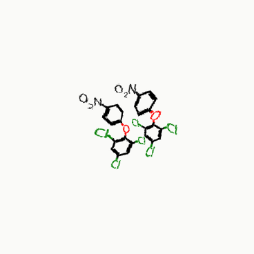 O=[N+]([O-])c1ccc(Oc2c(Cl)cc(Cl)cc2Cl)cc1.O=[N+]([O-])c1ccc(Oc2c(Cl)cc(Cl)cc2Cl)cc1